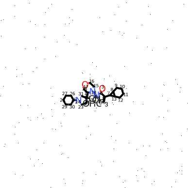 CN(C(=O)C(CC=O)C1C2CCCCC21)N1CCOCC1C1(C#N)CCN(C2CCCCC2)C1